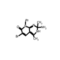 CC1=c2cc(Br)c(=O)n(C(C)C)c2=NC(C)(N)N1